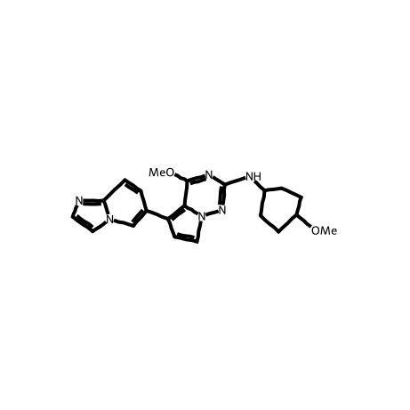 COc1nc(NC2CCC(OC)CC2)nn2ccc(-c3ccc4nccn4c3)c12